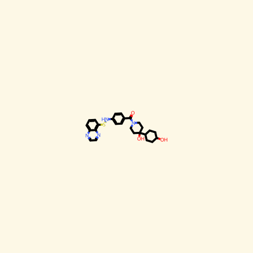 O=C(c1ccc(NSc2cccc3nccnc23)cc1)N1CCC(O)(C2CCC(O)CC2)CC1